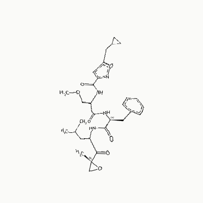 COCC(NC(=O)c1cc(CC2CC2)on1)C(=O)N[C@@H](Cc1ccccc1)C(=O)NC(CC(C)C)C(=O)[C@@]1(C)CO1